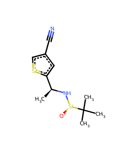 C[C@H](N[S@+]([O-])C(C)(C)C)c1cc(C#N)cs1